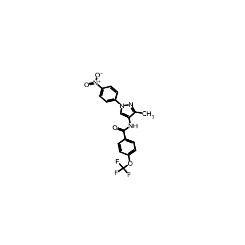 Cc1nn(-c2ccc([N+](=O)[O-])cc2)cc1NC(=O)c1ccc(OC(F)(F)F)cc1